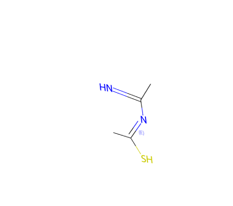 CC(=N)/N=C(\C)S